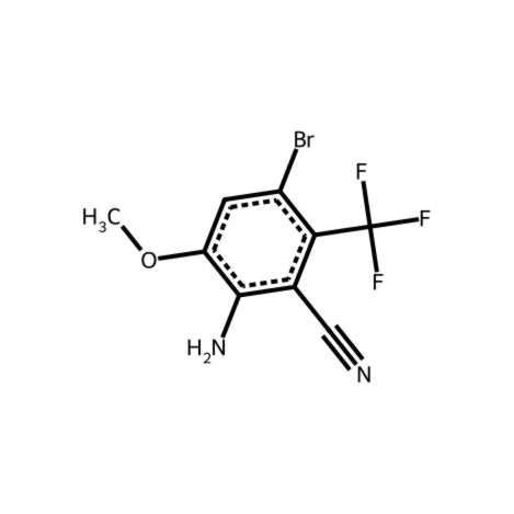 COc1cc(Br)c(C(F)(F)F)c(C#N)c1N